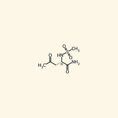 CC(=O)C[C@H](NS(C)(=O)=O)C(N)=O